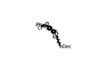 CCCCCCCCCCCCCCCCC(=O)Oc1ccc(-c2ccc(C(=O)OCC(Cl)C(C)C)cc2)cc1